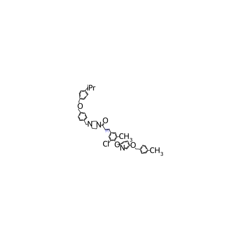 Cc1ccc(COc2ccc(Oc3c(C)cc(/C=C/C(=O)N4CCN(Cc5ccc(COCc6ccc(C(C)C)cc6)cc5)CC4)cc3Cl)nc2)cc1